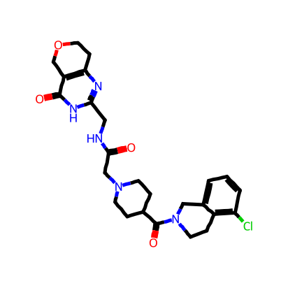 O=C(CN1CCC(C(=O)N2CCc3c(Cl)cccc3C2)CC1)NCc1nc2c(c(=O)[nH]1)COCC2